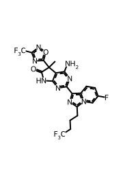 CC1(c2nc(C(F)(F)F)no2)C(=O)Nc2nc(-c3nc(CCCC(F)(F)F)n4cc(F)ccc34)nc(N)c21